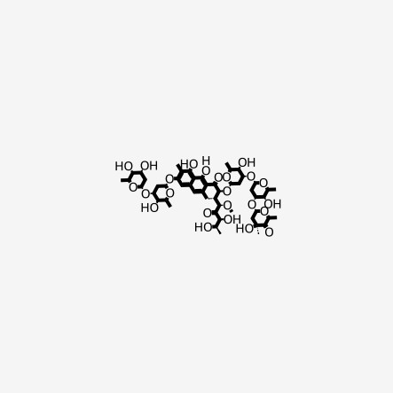 CO[C@H](C(=O)[C@@H](O)[C@@H](C)O)[C@@H]1Cc2cc3cc(O[C@H]4C[C@@H](O[C@H]5C[C@@H](O)[C@H](O)C(C)O5)[C@H](O)C(C)O4)c(C)c(O)c3c(O)c2C(=O)[C@H]1O[C@H]1C[C@@H](O[C@H]2C[C@@H](O[C@H]3C[C@](C)(O)C(=O)C(C)O3)[C@@H](O)C(C)O2)[C@H](O)C(C)O1